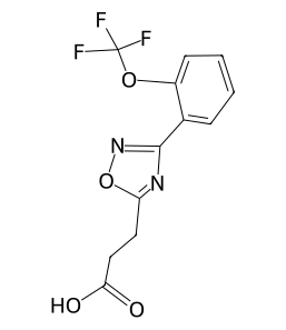 O=C(O)CCc1nc(-c2ccccc2OC(F)(F)F)no1